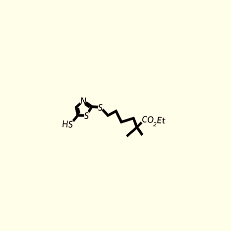 CCOC(=O)C(C)(C)CCCCSc1ncc(S)s1